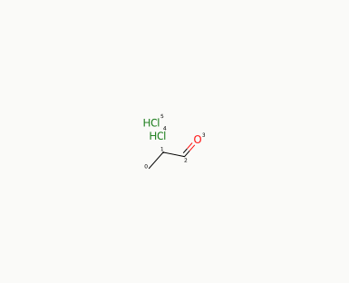 CCC=O.Cl.Cl